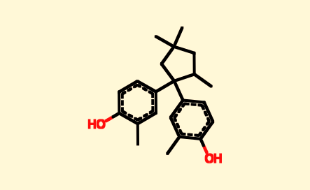 Cc1cc(C2(c3ccc(O)c(C)c3)CC(C)(C)CC2C)ccc1O